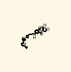 O=C1CCC(N2C(=O)c3ccc(NCCCC4CC(n5cc(-c6cccc(C7CC7)n6)cn5)C4)cc3C2=O)C(=O)N1